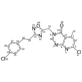 Cc1cc(Cl)nc2ncn(Cc3nc(CCc4ccc(Cl)cc4)no3)c(=O)c12